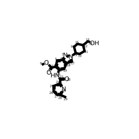 COC(=O)c1cc2nn(C3CCC(CO)CC3)cc2cc1NC(=O)c1cccc(C)n1